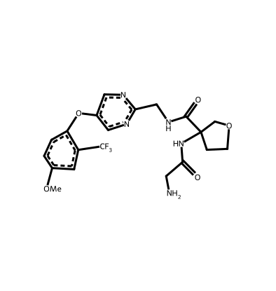 COc1ccc(Oc2cnc(CNC(=O)C3(NC(=O)CN)CCOC3)nc2)c(C(F)(F)F)c1